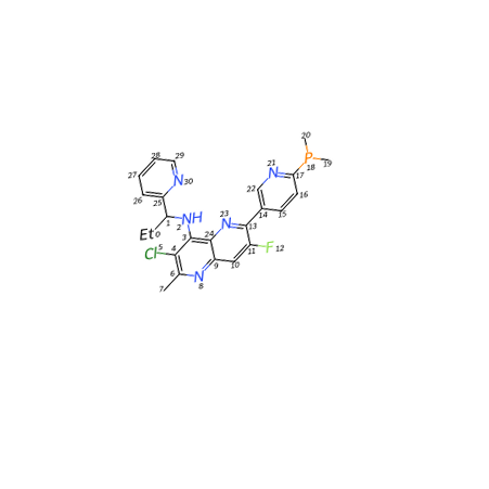 CCC(Nc1c(Cl)c(C)nc2cc(F)c(-c3ccc(P(C)C)nc3)nc12)c1ccccn1